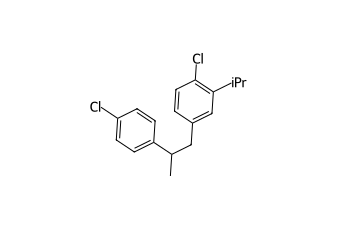 CC(C)c1cc(CC(C)c2ccc(Cl)cc2)ccc1Cl